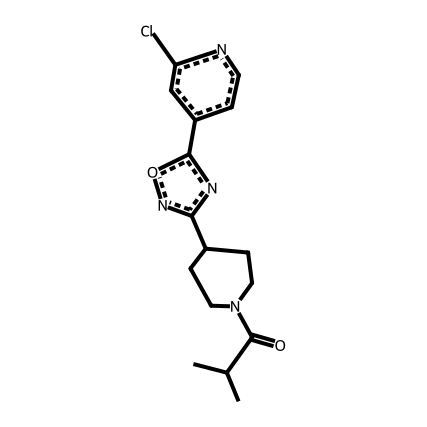 CC(C)C(=O)N1CCC(c2noc(-c3ccnc(Cl)c3)n2)CC1